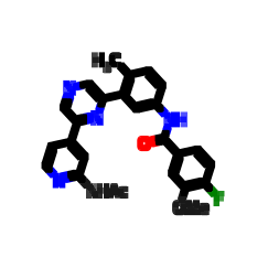 COc1cc(C(=O)Nc2ccc(C)c(-c3cncc(-c4ccnc(NC(C)=O)c4)n3)c2)ccc1F